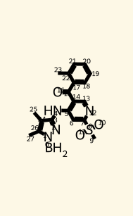 Bn1nc(Nc2cc(S(C)(=O)=O)ncc2C(=O)c2ccccc2C)c(C)c1C